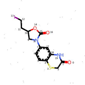 O=C1CSc2ccc(N3CC(CCI)OC3=O)cc2N1